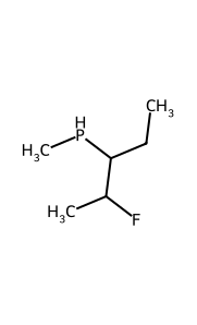 CCC(PC)C(C)F